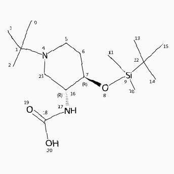 CC(C)(C)N1CC[C@@H](O[Si](C)(C)C(C)(C)C)[C@H](NC(=O)O)C1